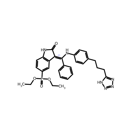 CCOP(=O)(OCC)c1ccc2c(c1)/C(=C(/Nc1ccc(CCCc3nnn[nH]3)cc1)c1ccccc1)C(=O)N2